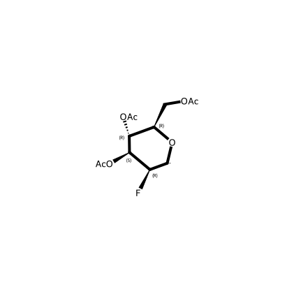 CC(=O)OC[C@H]1O[CH][C@@H](F)[C@@H](OC(C)=O)[C@@H]1OC(C)=O